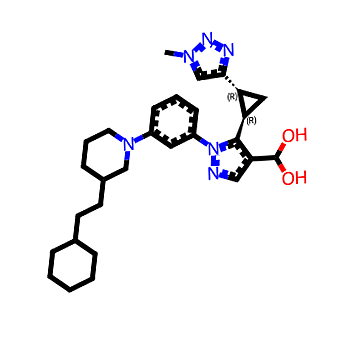 Cn1cc([C@@H]2C[C@H]2c2c(C(O)O)cnn2-c2cccc(N3CCCC(CCC4CCCCC4)C3)c2)nn1